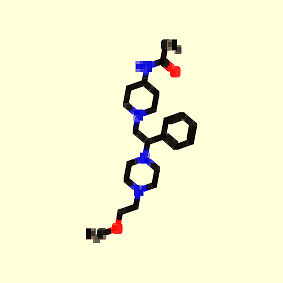 COCCN1CCN(C(CN2CCC(NC(C)=O)CC2)c2ccccc2)CC1